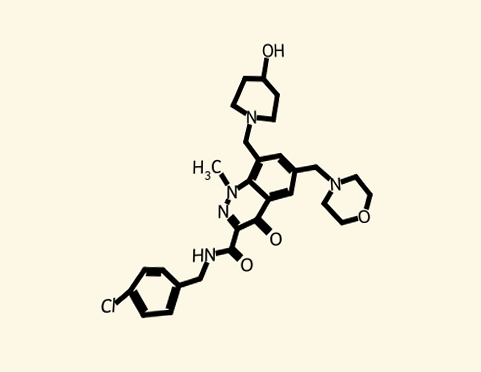 Cn1nc(C(=O)NCc2ccc(Cl)cc2)c(=O)c2cc(CN3CCOCC3)cc(CN3CCC(O)CC3)c21